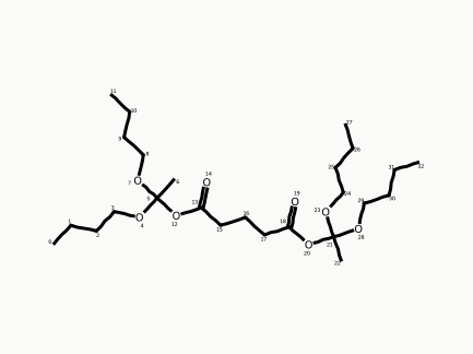 CCCCOC(C)(OCCCC)OC(=O)CCCC(=O)OC(C)(OCCCC)OCCCC